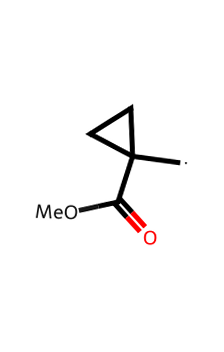 [CH2]C1(C(=O)OC)CC1